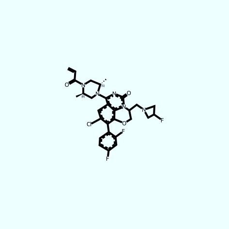 C=CC(=O)N1C[C@H](C)N(c2nc(=O)n3c4c(c(-c5ccc(F)cc5F)c(Cl)cc24)OCC3CN2CC(F)C2)C[C@H]1C